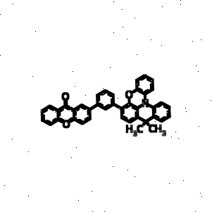 CC1(C)c2ccccc2N2c3ccccc3Oc3c(-c4cccc(-c5ccc6oc7ccccc7c(=O)c6c5)c4)ccc1c32